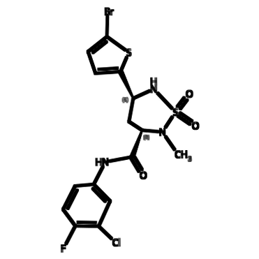 CN1[C@@H](C(=O)Nc2ccc(F)c(Cl)c2)C[C@@H](c2ccc(Br)s2)NS1(=O)=O